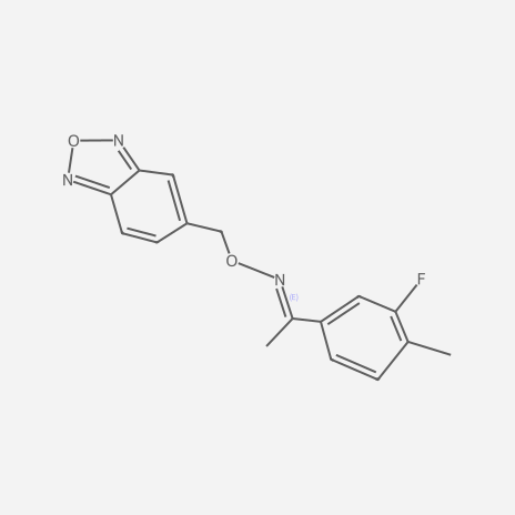 C/C(=N\OCc1ccc2nonc2c1)c1ccc(C)c(F)c1